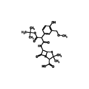 COCc1cc(C(C(=O)NC2C(=O)N3C2SC(C)(C)C3C(=O)O)C(=O)OC(C)(C)C)ccc1O